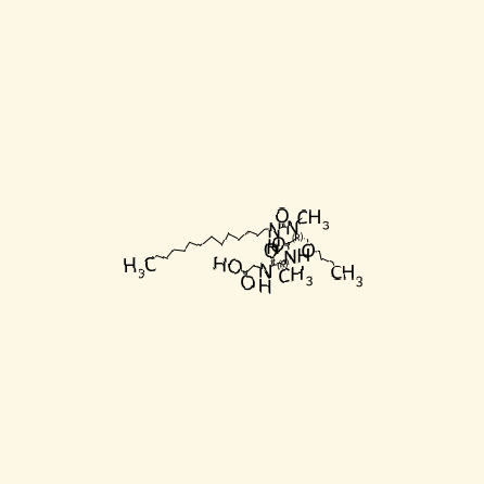 CCCCCCCCCCCCCCNC(=O)N(C)[C@H](COCCCC)C(=O)N[C@H](C)C(=O)NCC(=O)O